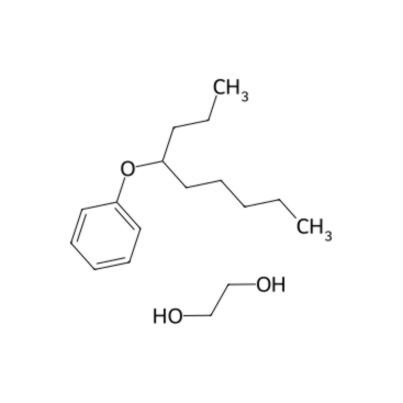 CCCCCC(CCC)Oc1ccccc1.OCCO